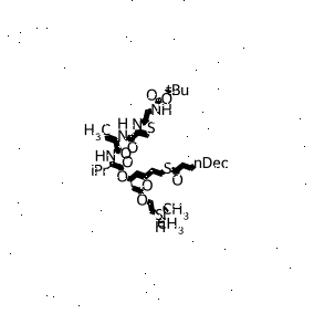 C/C=C(\NC(=O)c1csc(CNC(=O)OC(C)(C)C)n1)C(=O)N[C@H](C(=O)O[C@H](/C=C/CCSC(=O)CCCCCCCCCCCC)CC(=O)OCC[SiH](C)C)C(C)C